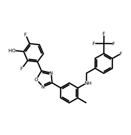 Cc1ccc(-c2noc(-c3ccc(F)c(O)c3F)n2)cc1NCc1ccc(F)c(C(F)(F)F)c1